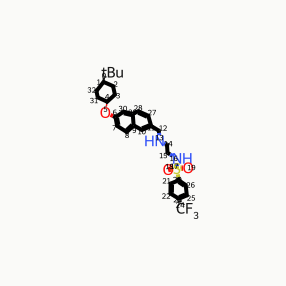 CC(C)(C)[C@H]1CC[C@H](Oc2ccc3cc(CNCCNS(=O)(=O)c4ccc(C(F)(F)F)cc4)ccc3c2)CC1